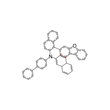 C1=CC2C=CC(N(c3ccc(-c4ccccc4)cc3)c3ccc4ccccc4c3-c3ccc4c(c3)oc3ccccc34)=CC2C=C1